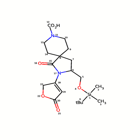 CC(C)(C)[Si](C)(C)OCC1CC2(CCN(C(=O)O)CC2)C(=O)N1C1=CC(=O)OC1